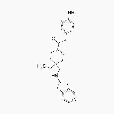 CCC1(CNN2Cc3ccncc3C2)CCN(C(=O)Cc2ccc(N)nc2)CC1